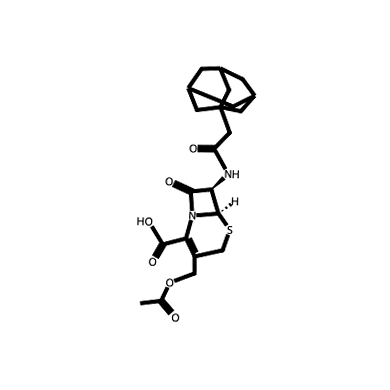 CC(=O)OCC1=C(C(=O)O)N2C(=O)[C@@H](NC(=O)CC34CC5CC(CC(C5)C3)C4)[C@H]2SC1